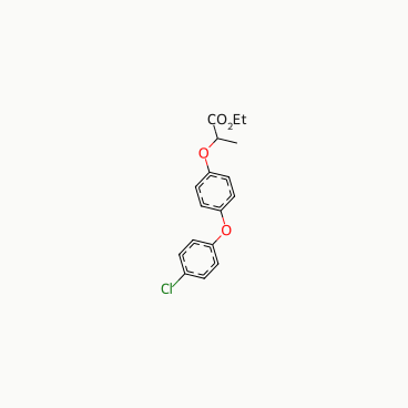 CCOC(=O)C(C)Oc1ccc(Oc2ccc(Cl)cc2)cc1